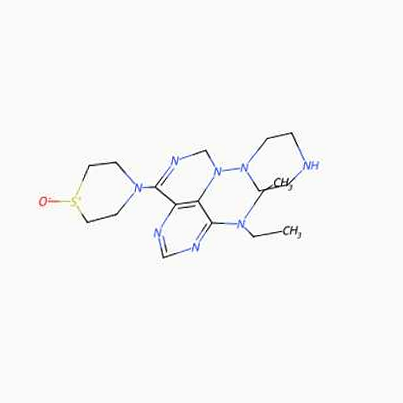 CCN(CC)c1ncnc2c1N(N1CCNCC1)CN=C2N1CC[S+]([O-])CC1